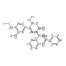 CCOc1ccc(C2=NN(C(NC(=O)c3ccncc3)c3ccccc3)C(=O)CC2CC)cc1OC